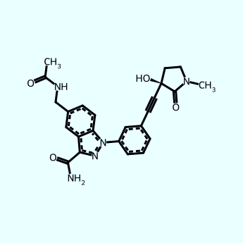 CC(=O)NCc1ccc2c(c1)c(C(N)=O)nn2-c1cccc(C#C[C@]2(O)CCN(C)C2=O)c1